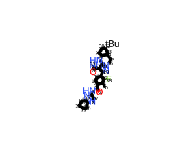 Cc1c(C(=O)Nc2cnc3ccccc3n2)ccc(-c2nn3c(c2C(N)=O)Nc2ccc(C(C)(C)C)cc2CC3)c1F